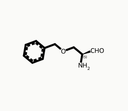 N[C@H](C=O)COCc1ccccc1